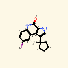 O=C(O)C1(c2c[nH]c3c(=O)[nH]c4ccc(I)cc4c23)CCCC1